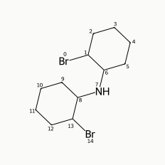 BrC1CCCCC1NC1CCCCC1Br